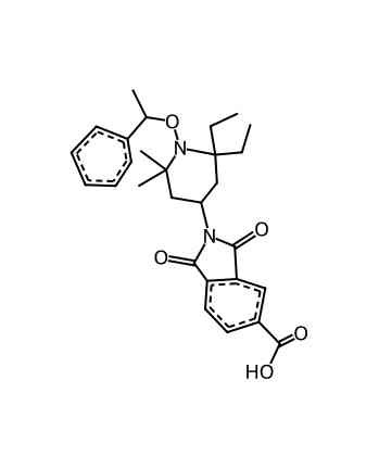 CCC1(CC)CC(N2C(=O)c3ccc(C(=O)O)cc3C2=O)CC(C)(C)N1OC(C)c1ccccc1